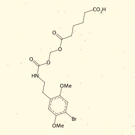 COc1cc(CCNC(=O)OCOC(=O)CCCCC(=O)O)c(OC)cc1Br